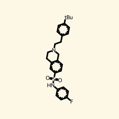 CC(C)(C)c1ccc(CCN2CCc3cc(S(=O)(=O)Nc4ccc(F)cc4)ccc3C2)cc1